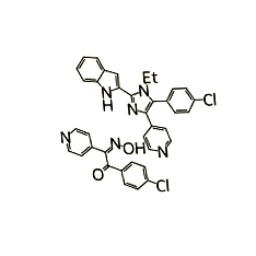 CCn1c(-c2cc3ccccc3[nH]2)nc(-c2ccncc2)c1-c1ccc(Cl)cc1.O=C(C(=NO)c1ccncc1)c1ccc(Cl)cc1